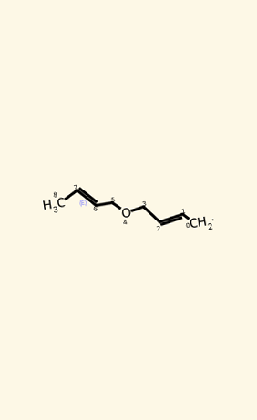 [CH2]C=CCOC/C=C/C